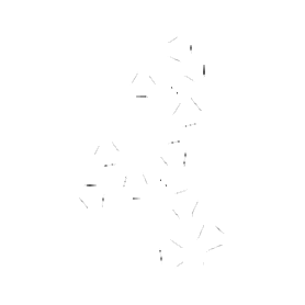 c1ccc(-c2ccccc2-c2ccc(N(c3ccc(-c4ccc5c6ccc7ccccc7c6n(-c6ccccc6)c5c4)cc3)c3ccc(-c4cccc5oc6ccccc6c45)cc3)cc2)cc1